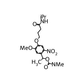 CNC(=O)OC(C)c1cc(OC)c(OCCCC(=O)NC(C)C)cc1[N+](=O)[O-]